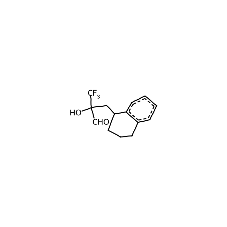 O=CC(O)(CC1CCCc2ccccc21)C(F)(F)F